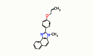 C=CCOc1ccc(-c2nc3c4ccccc4ccc3n2C)cc1